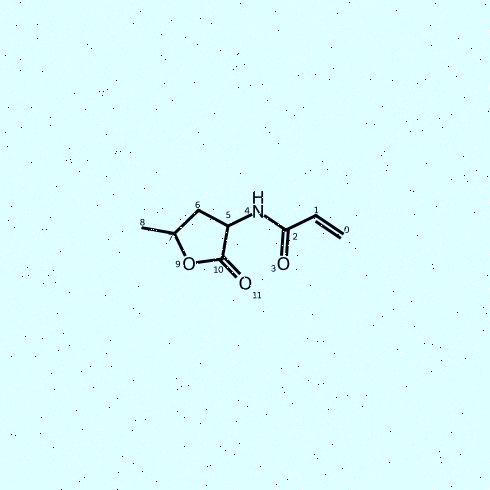 C=CC(=O)NC1CC(C)OC1=O